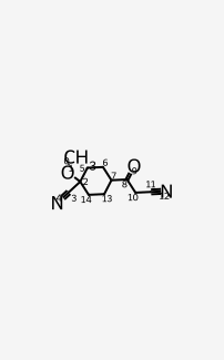 COC1(C#N)CCC(C(=O)CC#N)CC1